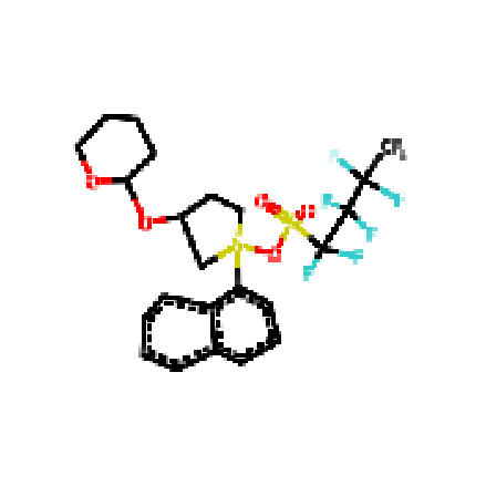 O=S(=O)(OS1(c2cccc3ccccc23)CCC(OC2CCCCO2)C1)C(F)(F)C(F)(F)C(F)(F)C(F)(F)F